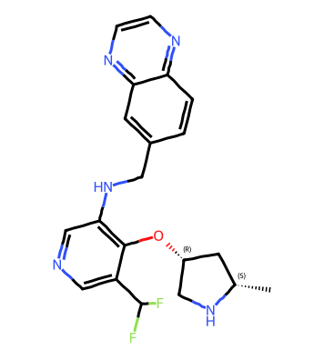 C[C@H]1C[C@@H](Oc2c(NCc3ccc4nccnc4c3)cncc2C(F)F)CN1